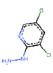 NNc1ncc(Cl)cc1Cl